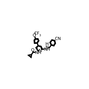 N#Cc1ccc(CNNc2cc(-c3ccc(OC(F)(F)F)cc3)cc(NC(=O)C3CC3)n2)cc1